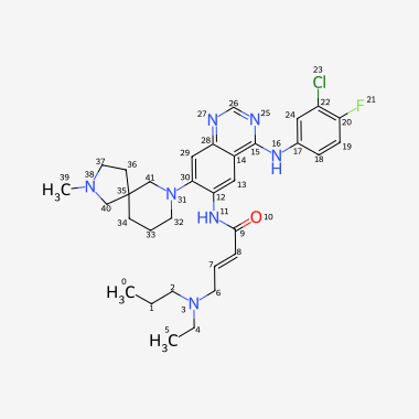 CCCN(CC)C/C=C/C(=O)Nc1cc2c(Nc3ccc(F)c(Cl)c3)ncnc2cc1N1CCCC2(CCN(C)C2)C1